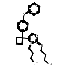 CCCC/N=c1/scc(C2(c3ccc(Oc4ccccc4)cc3)CCC2)n1CCCC